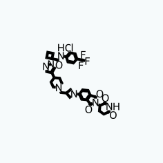 O=C1CCC(N2C(=O)c3ccc(N4CC(CN5CCC(c6cnn(C7(C(=O)Nc8ccc(C(F)(F)F)cc8Cl)CCC7)c6)CC5)C4)cc3C2=O)C(=O)N1